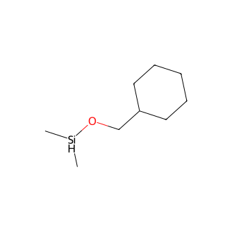 C[SiH](C)OCC1CCCCC1